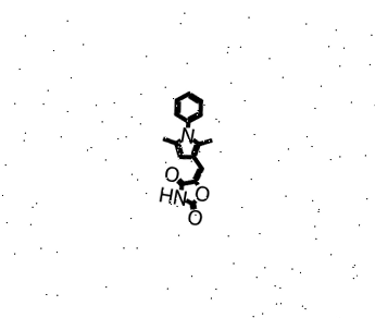 Cc1cc(C=C2OC(=O)NC2=O)c(C)n1-c1ccccc1